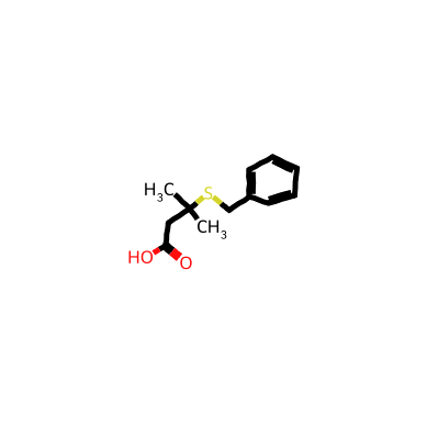 CC(C)(CC(=O)O)SCc1ccccc1